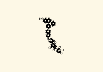 O=C1CC[C@H](N2Cc3c4c(cc(Cl)c3C2=O)C2(CCN(C[C@@H]3CCC5(CCN(c6ccc([C@@H]7c8ccc(O)cc8CC[C@@H]7c7ccccc7)cc6)CC5)OC3)CC2)CO4)C(=O)N1